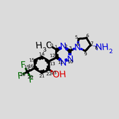 Cc1nc(N2CC[C@H](N)C2)nnc1-c1ccc(C(F)(F)F)cc1O